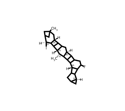 C[C@H]1C2C3C(C4CC(F)C5C6C(CC7C[C@@H]76)[C@@H]5C43)[C@@H]2CC2C3C(C4[C@@H](I)C5CC(C)(C5)C[C@H]34)[C@H]21